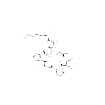 CC(C)[C@H](NC(=O)[C@@H]1CCCN1C(=O)[C@H](N)CCC(=O)O)C(=O)N1CCC[C@H]1C(=O)N[C@@H](CCC(N)=O)C(=O)N[C@@H](C)C(=O)N[C@@H](CCCCN)C(=O)O